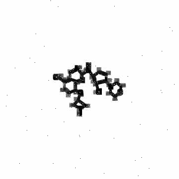 Clc1cc(Nc2ncc3c(Cl)ccc(OC4CNC4)c3n2)ccc1N1CCOCC1